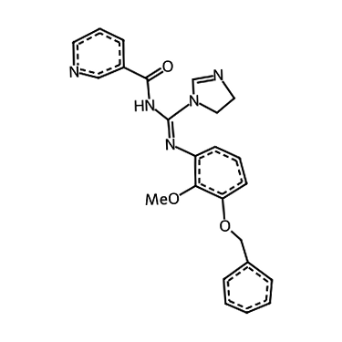 COc1c(/N=C(/NC(=O)c2cccnc2)N2C=NCC2)cccc1OCc1ccccc1